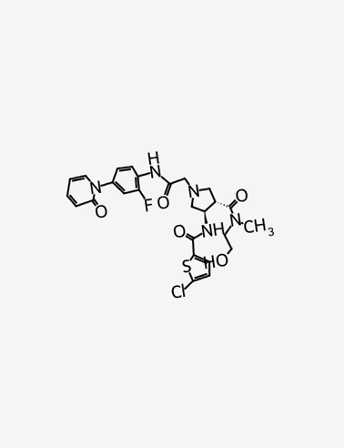 CN(CCO)C(=O)[C@H]1CN(CC(=O)Nc2ccc(-n3ccccc3=O)cc2F)C[C@@H]1NC(=O)c1ccc(Cl)s1